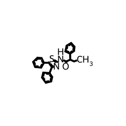 CCC(C(=O)Nc1nc(-c2ccccc2)c(-c2ccccc2)s1)c1ccccc1